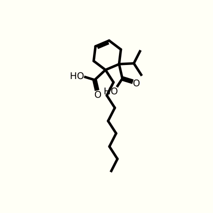 CCCCCCCCC1(C(=O)O)CC=CCC1(C(=O)O)C(C)C